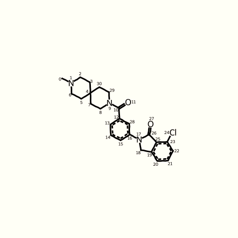 CN1CCC2(CC1)CCN(C(=O)c1cccc(N3Cc4cccc(Cl)c4C3=O)c1)CC2